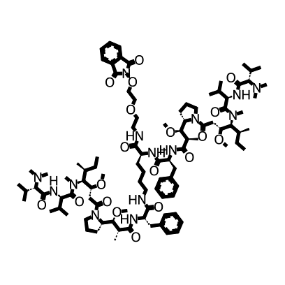 CC[C@H](C)[C@@H]([C@@H](CC(=O)N1CCC[C@H]1[C@H](OC)[C@@H](C)C(=O)N[C@@H](Cc1ccccc1)C(=O)NCCCC[C@H](NC(=O)[C@H](Cc1ccccc1)NC(=O)[C@H](C)[C@@H](OC)[C@@H]1CCCN1C(=O)C[C@@H](OC)[C@H]([C@@H](C)CC)N(C)C(=O)[C@@H](NC(=O)[C@H](C(C)C)N(C)C)C(C)C)C(=O)NCCOCCON1C(=O)c2ccccc2C1=O)OC)N(C)C(=O)[C@@H](NC(=O)[C@H](C(C)C)N(C)C)C(C)C